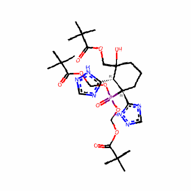 CC(C)(C)C(=O)OCOP(=O)(OCOC(=O)C(C)(C)C)[C@@]1(c2ncn[nH]2)CCCC(O)(COC(=O)C(C)(C)C)[C@H]1c1ncn[nH]1